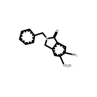 CCOC(=O)c1cc2c(cc1N)C(=O)N(Cc1ccccc1)C2